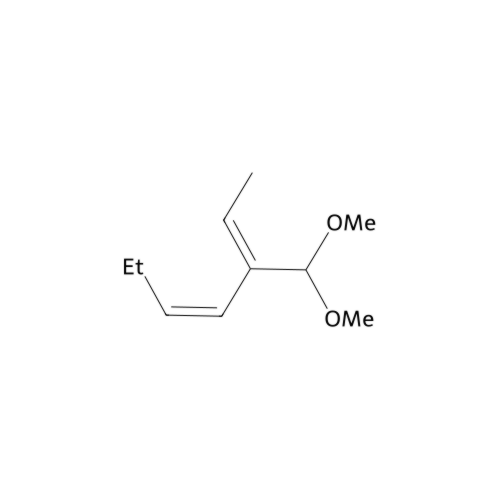 CC=C(/C=C\CC)C(OC)OC